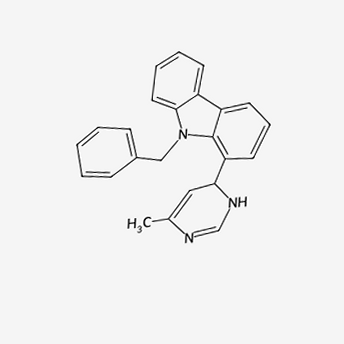 CC1=CC(c2cccc3c4ccccc4n(Cc4ccccc4)c23)NC=N1